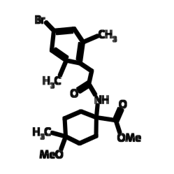 COC(=O)C1(NC(=O)Cc2c(C)cc(Br)cc2C)CCC(C)(OC)CC1